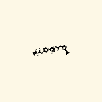 CC1(NC(=O)O[C@@H]2CC[C@H](c3cc(NC(=O)Cc4coc(C5CC5)n4)n[nH]3)C2)CC1